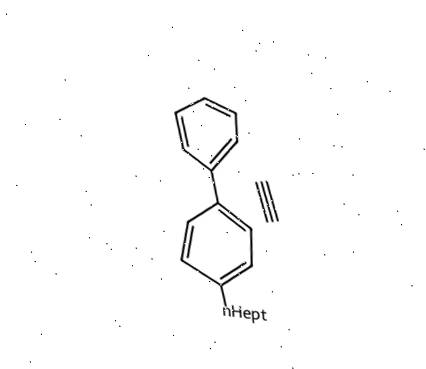 C#C.CCCCCCCc1ccc(-c2ccccc2)cc1